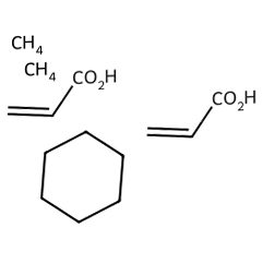 C.C.C1CCCCC1.C=CC(=O)O.C=CC(=O)O